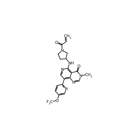 C=CC(=O)N1CCC(Nc2ncc(-c3ccc(OC(F)(F)F)cn3)c3ncn(C)c(=O)c23)C1